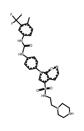 Cc1ccc(NC(=O)Nc2ccc(-n3cc(S(=O)(=O)NCCN4CCNCC4)c4ccncc43)cc2)cc1C(F)(F)I